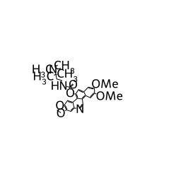 COc1cc2cc(OC(=O)NCCC(C)(C)N(C)C)c3c4cc5c(cc4ncc3c2cc1OC)OCO5